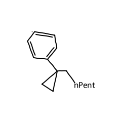 CCCCCCC1(c2cc[c]cc2)CC1